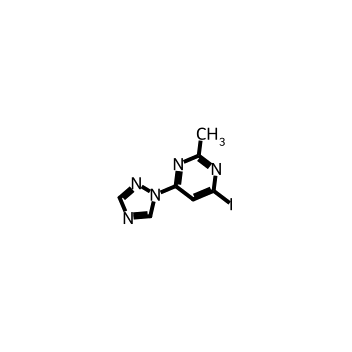 Cc1nc(I)cc(-n2cncn2)n1